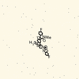 CNC(=O)c1c(-c2ccc(F)cc2)oc2cc(N(C)S)c([C@@H]3CCCN(C(=O)c4nc5ccc(F)cc5s4)C3)cc12